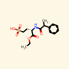 CCOC(=O)[C@H](CCS(=O)(=O)O)NC(=O)C(C)c1ccccc1